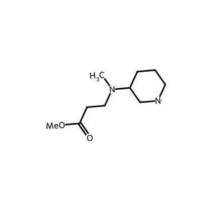 COC(=O)CCN(C)C1CCC[N]C1